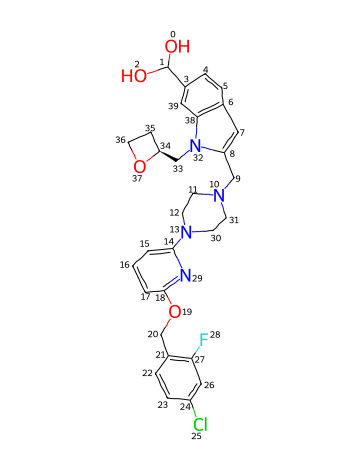 OC(O)c1ccc2cc(CN3CCN(c4cccc(OCc5ccc(Cl)cc5F)n4)CC3)n(C[C@@H]3CCO3)c2c1